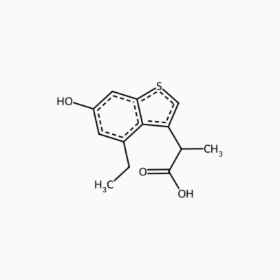 CCc1cc(O)cc2scc(C(C)C(=O)O)c12